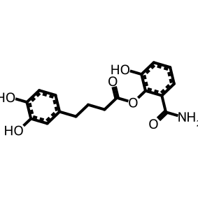 NC(=O)c1cccc(O)c1OC(=O)CCCc1ccc(O)c(O)c1